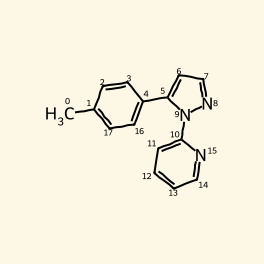 Cc1ccc(-c2ccnn2-c2ccccn2)cc1